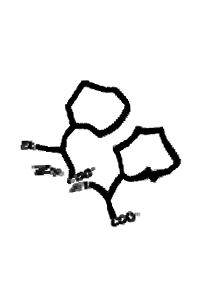 CCC(C(=O)[O-])C1CCCCC1.CCC(C(=O)[O-])C1CCCCC1.[Zn+2]